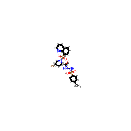 Cc1ccc(S(=O)(=O)NNC(=O)[C@@H]2C[C@@H](S)CN2S(=O)(=O)c2cccc3cccnc23)cc1